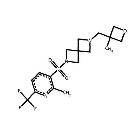 Cc1nc(C(F)(F)F)ccc1S(=O)(=O)N1CC2(CN(CC3(C)COC3)C2)C1